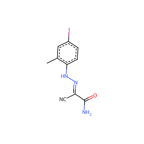 Cc1cc(I)ccc1N/N=C(\C#N)C(N)=O